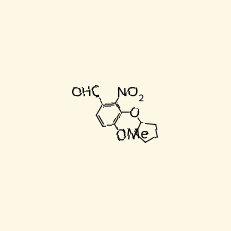 COc1ccc(C=O)c([N+](=O)[O-])c1OC1CCCC1